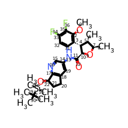 COc1c([C@@H]2[C@H](C)[C@@H](C)O[C@H]2C(=O)Nc2cnc3c(c2)CCC3O[Si](C)(C)C(C)(C)C)ccc(F)c1F